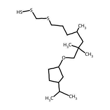 CC(CCCSCSS)CC(C)(C)COC1CCC(C(C)C)C1